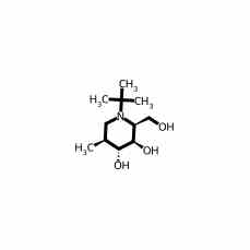 C[C@H]1CN(C(C)(C)C)[C@@H](CO)[C@@H](O)[C@@H]1O